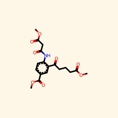 COC(=O)CCCC(=O)c1cc(C(=O)OC)ccc1NC(=O)CC(=O)OC